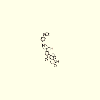 CCOc1ccc(CN2CCC(O)(c3ccc4c(c3)C(=O)N(C3CCC(=O)NC3=O)C4=O)CC2)cc1